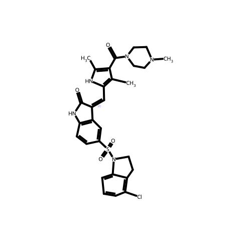 Cc1[nH]c(/C=C2\C(=O)Nc3ccc(S(=O)(=O)N4CCc5c(Cl)cccc54)cc32)c(C)c1C(=O)N1CCN(C)CC1